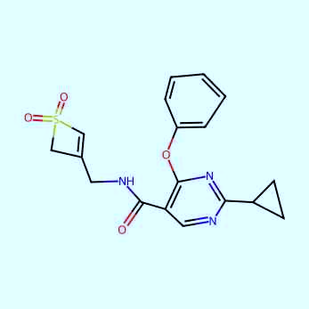 O=C(NCC1=CS(=O)(=O)C1)c1cnc(C2CC2)nc1Oc1ccccc1